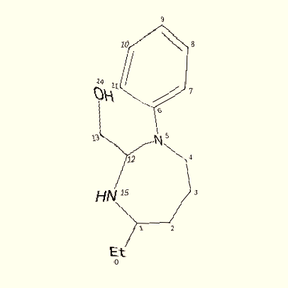 CCC1CCCN(c2ccccc2)C(CO)N1